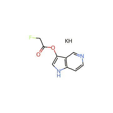 O=C(CF)Oc1c[nH]c2ccncc12.[KH]